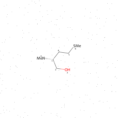 CN[C@@H](CO)CCSC